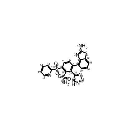 Nc1nc2c(-c3ccc(S(=O)(=O)c4ccccn4)c(S(N)(=O)=O)c3-c3nnn[nH]3)cccc2s1